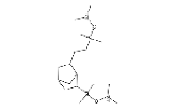 C[SiH](C)O[Si](C)(C)CCC1CC2CC1C([Si](C)(C)O[SiH](C)C)C2